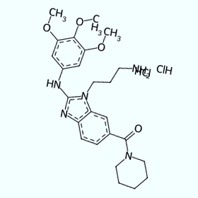 COc1cc(Nc2nc3ccc(C(=O)N4CCCCC4)cc3n2CCCN)cc(OC)c1OC.Cl.Cl